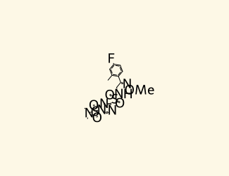 CO/N=C(\CNS(=O)(=O)c1ncn(S(=O)(=O)N(C)C)n1)c1ccc(F)cc1C